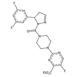 CCOC(=O)c1nc(N2CCN(C(=O)N3N=CCC3c3cc(F)cc(F)c3)CC2)ncc1F